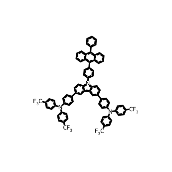 FC(F)(F)c1ccc(N(c2ccc(-c3ccc4c(c3)c3cc(-c5ccc(N(c6ccc(C(F)(F)F)cc6)c6ccc(C(F)(F)F)cc6)cc5)ccc3n4-c3ccc(-c4c5ccccc5c(-c5ccccc5)c5ccccc45)cc3)cc2)c2ccc(C(F)(F)F)cc2)cc1